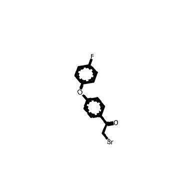 O=C(CBr)c1ccc(Oc2ccc(F)cc2)cc1